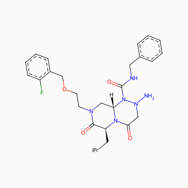 CC(C)C[C@H]1C(=O)N(CCOCc2ccccc2F)C[C@H]2N1C(=O)CN(N)N2C(=O)NCc1ccccc1